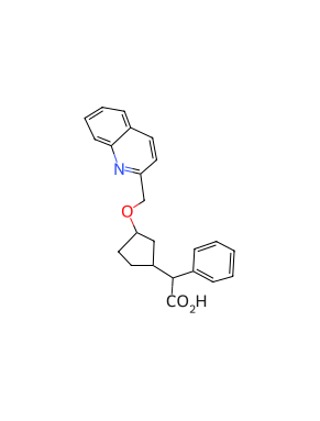 O=C(O)C(c1ccccc1)C1CCC(OCc2ccc3ccccc3n2)C1